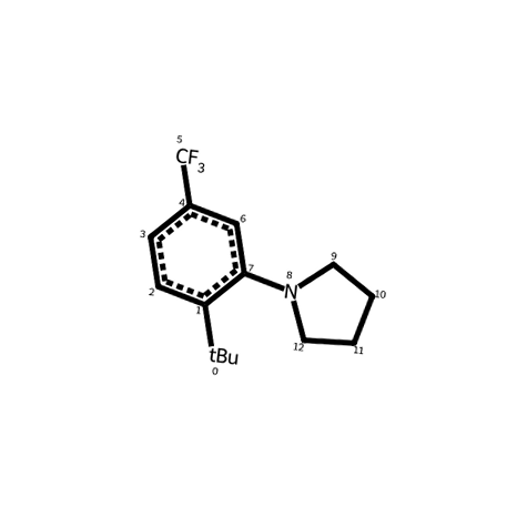 CC(C)(C)c1ccc(C(F)(F)F)cc1N1CCCC1